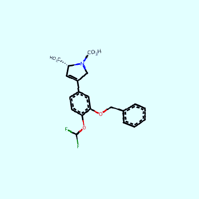 O=C(O)[C@H]1C=C(c2ccc(OC(F)F)c(OCc3ccccc3)c2)CN1C(=O)O